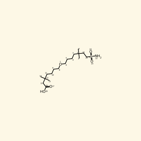 CC(C)(CCCCOCCCCC(C)(C)CC(=O)O)CCS(N)(=O)=O